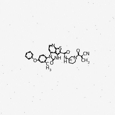 C=C(C#N)C(=O)N1CCC[C@@H](NC(=O)c2sc3nccc4c3c2NC(=O)N4c2ccc(Oc3ccccc3)cc2C)C1